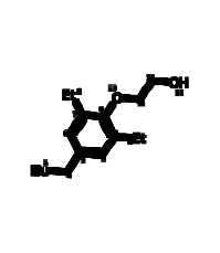 CCc1cc(CC(C)CC)cc(CC)c1OCCO